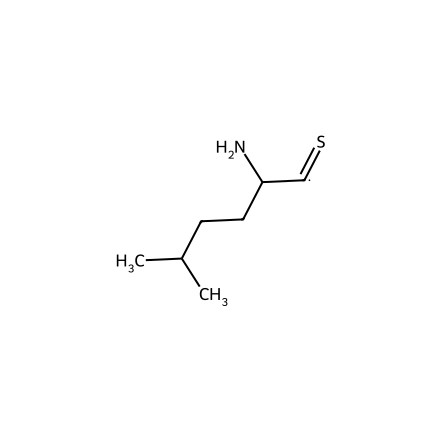 CC(C)CCC(N)[C]=S